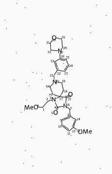 COCCN1C(=O)N(Cc2cccc(OC)c2)C(=O)C12CCN(Cc1cccc(N3CCOCC3)c1)CC2